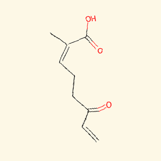 C=CC(=O)CCC=C(C)C(=O)O